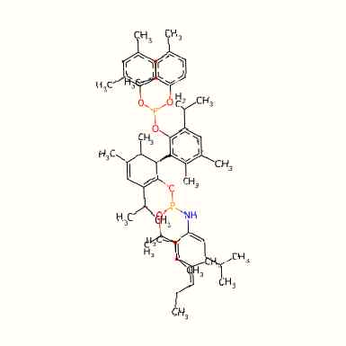 C/C=C(C)\C(=C/CC(C)C)NP(OC1=C(C(C)C)C=C(C)C(C)[C@H]1c1c(C)c(C)cc(C(C)C)c1OP(Oc1ccc(C)cc1C)Oc1ccc(C)cc1C)OC(C)CC/C(C)=C\CC